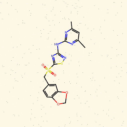 Cc1cc(C)nc(Nc2nsc(S(=O)(=O)Cc3ccc4c(c3)OCO4)n2)n1